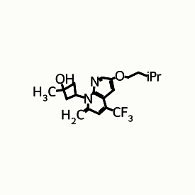 C=C1C=C(C(F)(F)F)c2cc(OCCC(C)C)cnc2N1C1CC(C)(O)C1